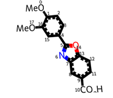 COc1ccc(-c2nc3cc(C(=O)O)ccc3o2)cc1OC